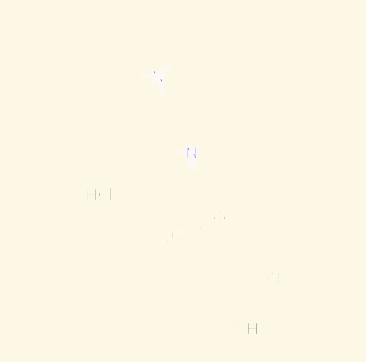 Cc1ccc(S(=O)(=O)c2cnc3c(CN4CCCC(F)(F)C4)cccc3c2)cc1Cl.Cl